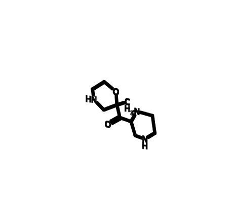 CC1(C(=O)C2CNCC[N]2)CNCCO1